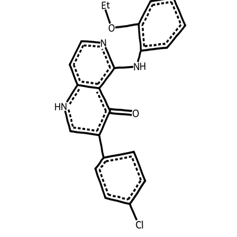 CCOc1ccccc1Nc1nccc2[nH]cc(-c3ccc(Cl)cc3)c(=O)c12